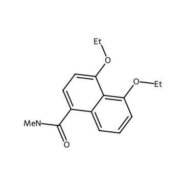 CCOc1cccc2c(C(=O)NC)ccc(OCC)c12